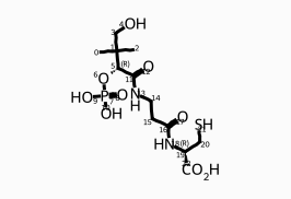 CC(C)(CO)[C@@H](OP(=O)(O)O)C(=O)NCCC(=O)N[C@@H](CS)C(=O)O